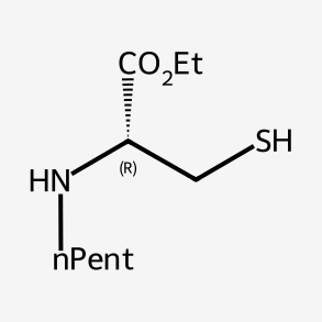 CCCCCN[C@@H](CS)C(=O)OCC